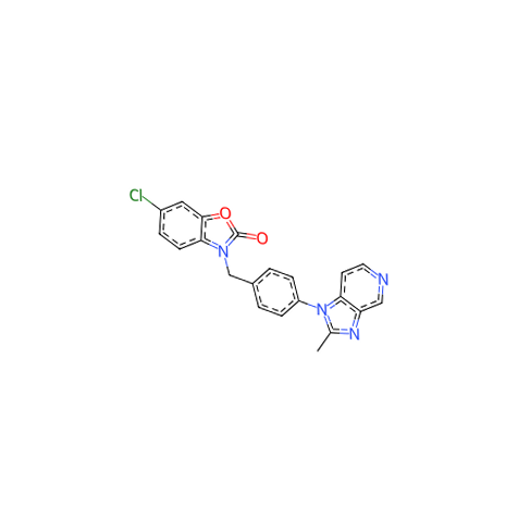 Cc1nc2cnccc2n1-c1ccc(Cn2c(=O)oc3cc(Cl)ccc32)cc1